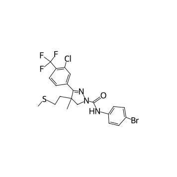 CSCCC1(C)CN(C(=O)Nc2ccc(Br)cc2)N=C1c1ccc(C(F)(F)F)c(Cl)c1